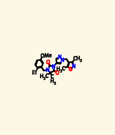 CCc1ccc(OC)cc1CN1C(=O)N(c2cnn(Cc3c(C)noc3C)c2)C(=O)C1(C)C